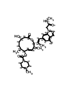 CNC(=O)Cn1ncc2c(F)cc(/C=C(\C)[C@H]3OC(=O)C[C@@H](O)CC[C@@H](C)[C@H](OC(=O)N4CCN(C)CC4)/C=C/[C@@H]3C)cc21